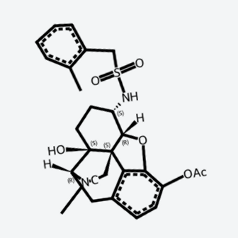 CC(=O)Oc1ccc2c3c1O[C@H]1[C@@H](NS(=O)(=O)Cc4ccccc4C)CC[C@@]4(O)[C@@H](C2)N(C)CC[C@]314